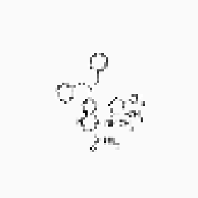 C[C@H]1CC[C@@H](Nc2c(C(N)=O)cnn3cc(N(Cc4ccccc4)Cc4ccccc4)cc23)C1(C)C